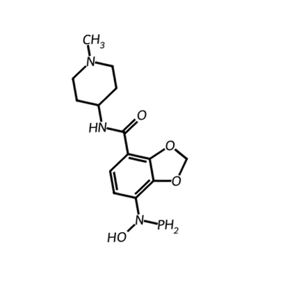 CN1CCC(NC(=O)c2ccc(N(O)P)c3c2OCO3)CC1